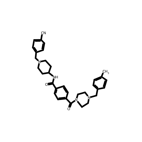 Cc1ccc(CN2CCN(C(=O)c3ccc(C(=O)NC4CCN(Cc5ccc(C#N)cc5)CC4)cc3)CC2)cc1